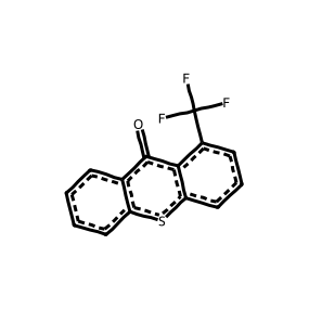 O=c1c2ccccc2sc2cccc(C(F)(F)F)c12